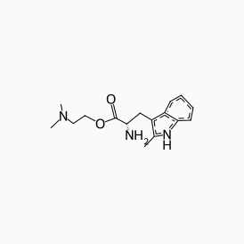 Cc1[nH]c2ccccc2c1C[C@H](N)C(=O)OCCN(C)C